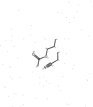 CCC#N.CCCOC(C)=O